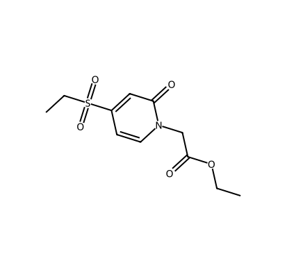 CCOC(=O)Cn1ccc(S(=O)(=O)CC)cc1=O